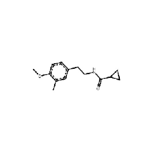 COc1ccc(CCNC(=O)C2CC2)cc1C